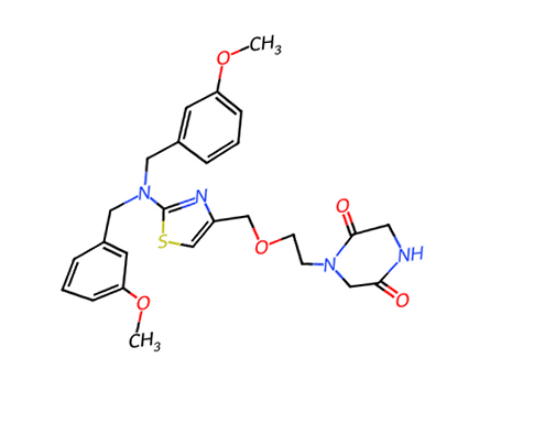 COc1cccc(CN(Cc2cccc(OC)c2)c2nc(COCCN3CC(=O)NCC3=O)cs2)c1